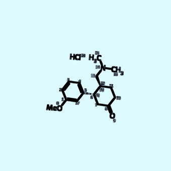 COc1cccc([C@H]2CC(=O)CC[C@@H]2CN(C)C)c1.Cl